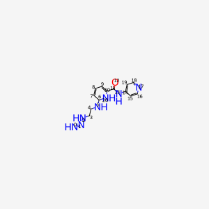 N=NNCCNC1C=CC=C(C(=O)Nc2ccncc2)N1